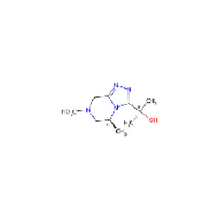 C[C@H]1CN(C(=O)O)Cc2nnc([C@@](C)(O)C(F)(F)F)n21